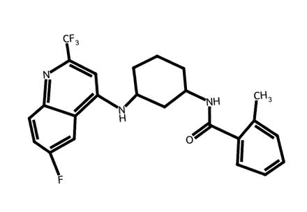 Cc1ccccc1C(=O)NC1CCCC(Nc2cc(C(F)(F)F)nc3ccc(F)cc23)C1